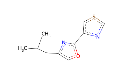 CC(C)Cc1coc(-c2cscn2)n1